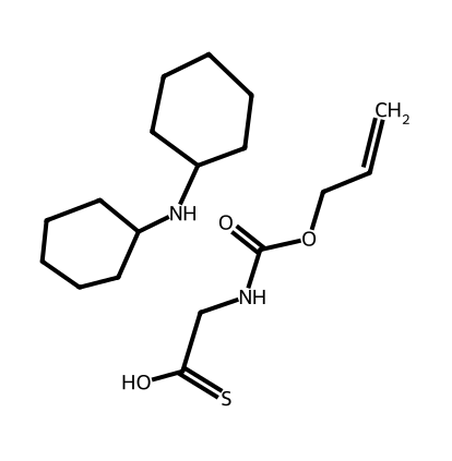 C1CCC(NC2CCCCC2)CC1.C=CCOC(=O)NCC(O)=S